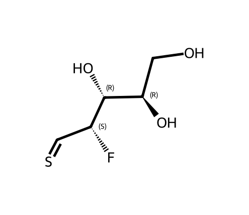 OC[C@@H](O)[C@@H](O)[C@H](F)C=S